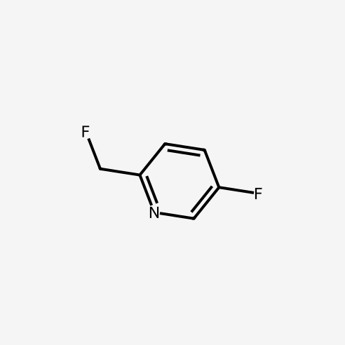 FCc1ccc(F)cn1